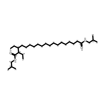 CCC(CCCCCCCCCCCCCCCC(=O)OCC(C)C)C(CC)C(=O)OCC(C)C